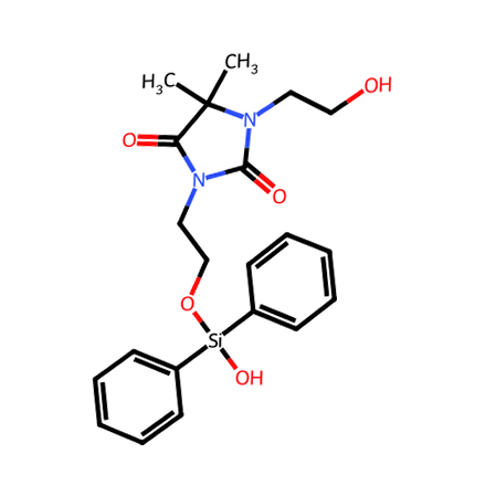 CC1(C)C(=O)N(CCO[Si](O)(c2ccccc2)c2ccccc2)C(=O)N1CCO